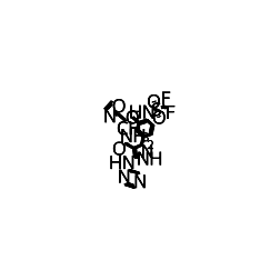 C[C@@H](Oc1cc(-c2n[nH]c(Nc3cnccn3)c2C(N)=O)ccc1NS(=O)(=O)C(F)F)c1ncco1